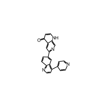 O=c1cc[nH]c2cnc(-c3ccc4nccc(-c5ccncc5)c4c3)cc12